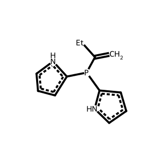 C=C(CC)P(c1ccc[nH]1)c1ccc[nH]1